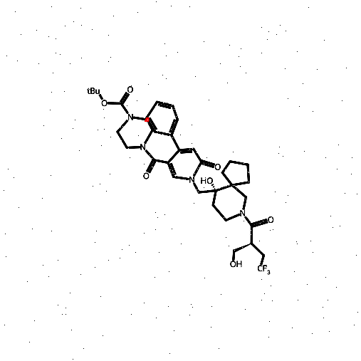 CC(C)(C)OC(=O)N1CCN(C(=O)c2cn(C[C@]3(O)CCN(C(=O)[C@H](CO)CC(F)(F)F)CC34CCCC4)c(=O)cc2-c2ccccc2)CC1